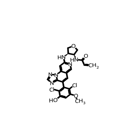 C=CC(=O)N[C@@H]1COC[C@@H]1Nc1cc2c(cn1)cc(-c1c(Cl)c(O)cc(OC)c1Cl)c1ncnn12